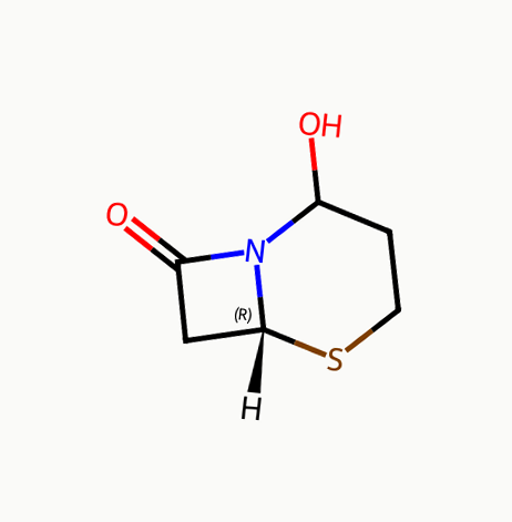 O=C1C[C@H]2SCCC(O)N12